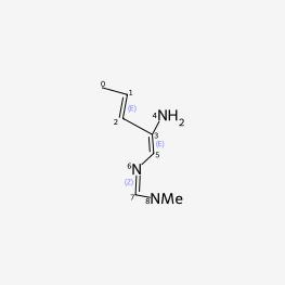 C/C=C/C(N)=C\N=C/NC